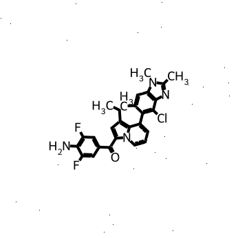 CCc1cc(C(=O)c2cc(F)c(N)c(F)c2)n2cccc(-c3c(C)cc4c(nc(C)n4C)c3Cl)c12